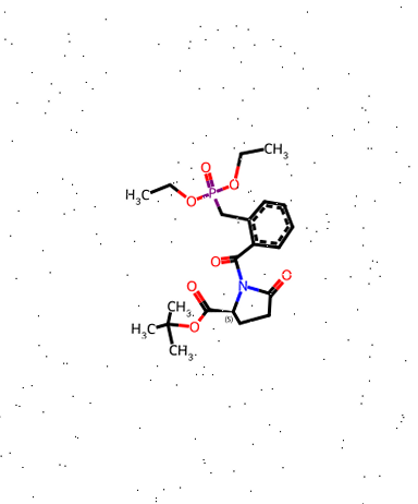 CCOP(=O)(Cc1ccccc1C(=O)N1C(=O)CC[C@H]1C(=O)OC(C)(C)C)OCC